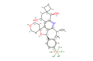 CC(C)c1nc2c(c3c1[C@@H](c1ccc(S(F)(F)(F)(F)F)cc1)OC31CCOCC1)C(O)CC1(CCC1)[C@H]2O